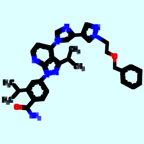 CC(C)c1cc(-n2nc(C(C)C)c3c(-n4cnc(-c5cnn(CCOCc6ccccc6)c5)c4)ccnc32)ccc1C(N)=O